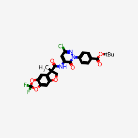 CC(C)(C)OC(=O)c1ccc(-n2nc(Cl)cc(NC(=O)C3(C)COc4cc5c(cc43)OC(F)(F)O5)c2=O)cc1